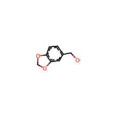 [O]Cc1ccc2c(c1)OCO2